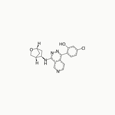 Oc1cc(Cl)ccc1-c1nnc(N[C@@H]2C[C@@H]3C[C@H]2CO3)c2cnccc12